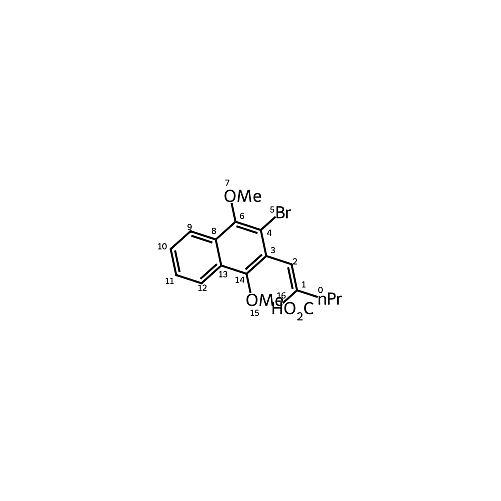 CCCC(=Cc1c(Br)c(OC)c2ccccc2c1OC)C(=O)O